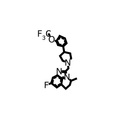 CC1CCc2cc(F)cc3nc(CN4CCC(c5cccc(OC(F)(F)F)c5)CC4)n1c23